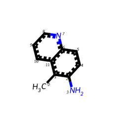 Cc1c(N)ccc2ncccc12